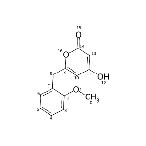 COc1ccccc1Cc1cc(O)cc(=O)o1